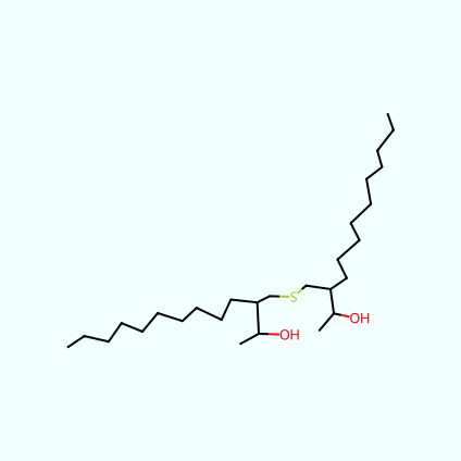 CCCCCCCCCCC(CSCC(CCCCCCCCCC)C(C)O)C(C)O